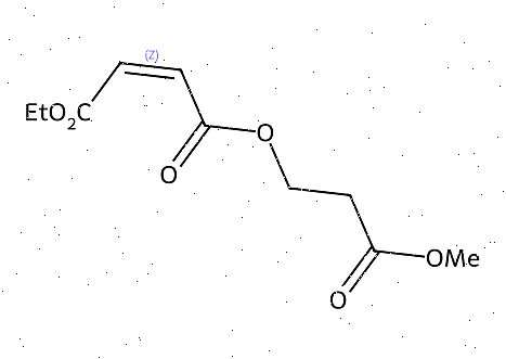 CCOC(=O)/C=C\C(=O)OCCC(=O)OC